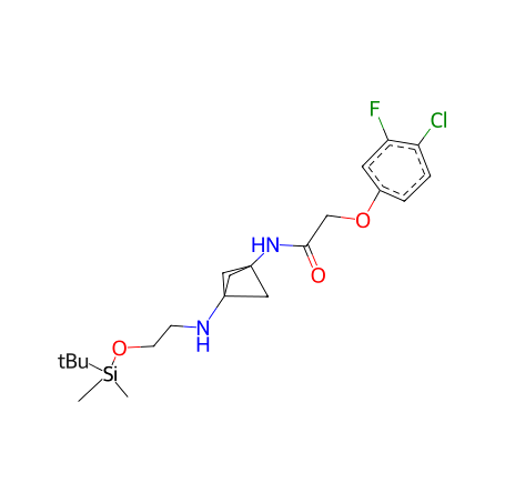 CC(C)(C)[Si](C)(C)OCCNC12CC(NC(=O)COc3ccc(Cl)c(F)c3)(C1)C2